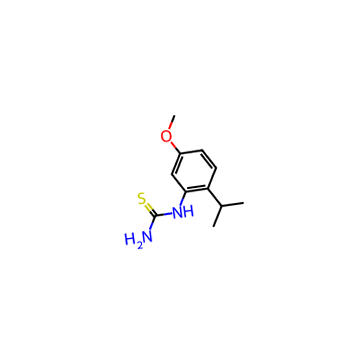 COc1ccc(C(C)C)c(NC(N)=S)c1